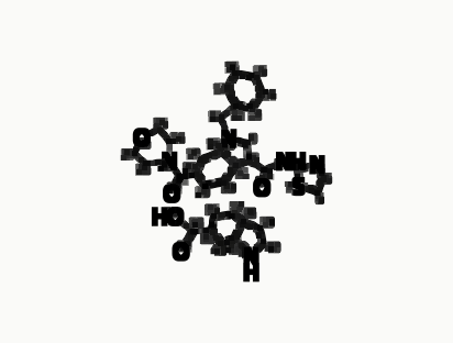 O=C(Nc1nccs1)c1cn(Cc2ccccc2)c2cc(C(=O)N3CCOCC3)ccc12.O=C(O)c1ccc2cc[nH]c2c1